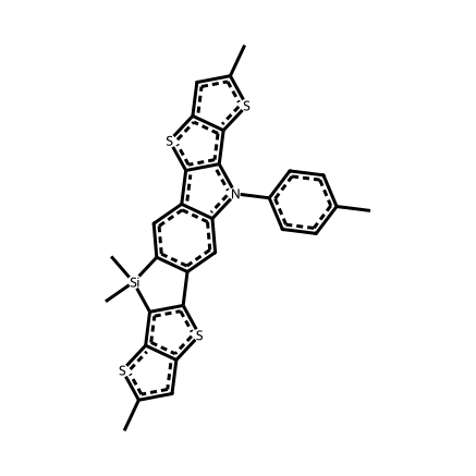 Cc1ccc(-n2c3cc4c(cc3c3sc5cc(C)sc5c32)[Si](C)(C)c2c-4sc3cc(C)sc23)cc1